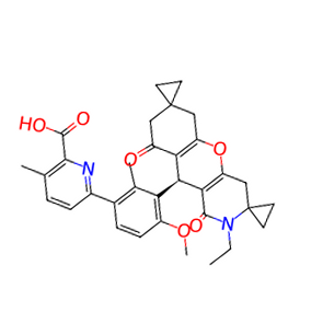 CCN1C(=O)C2=C(CC13CC3)OC1=C(C(=O)CC3(CC3)C1)[C@@H]2c1c(OC)ccc(-c2ccc(C)c(C(=O)O)n2)c1C